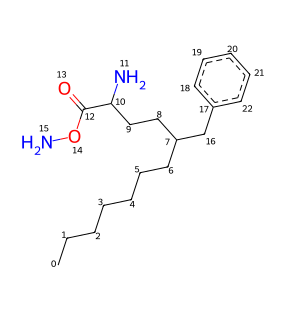 CCCCCCCC(CCC(N)C(=O)ON)Cc1ccccc1